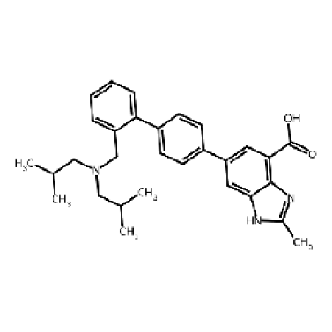 Cc1nc2c(C(=O)O)cc(-c3ccc(-c4ccccc4CN(CC(C)C)CC(C)C)cc3)cc2[nH]1